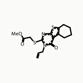 C=CCn1c(SCC(=O)OC)nc2sc3c(c2c1=O)CCCC3